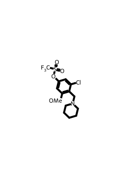 COc1cc(OS(=O)(=O)C(F)(F)F)cc(Cl)c1CN1CCCCC1